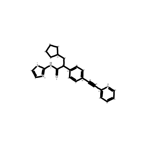 O=C(Nc1nccs1)C(CC1CCCC1)c1ccc(C#Cc2ccccn2)cc1